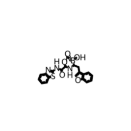 O=NB(O)C(Cc1coc2ccccc12)NC(=O)C(=O)Nc1nc2ccccc2s1